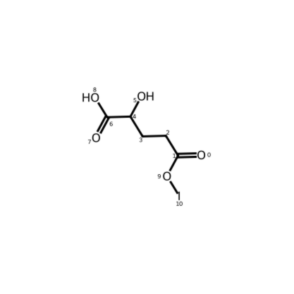 O=C(CCC(O)C(=O)O)OI